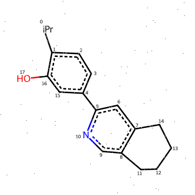 CC(C)c1ccc(-c2cc3c(cn2)CCCC3)cc1O